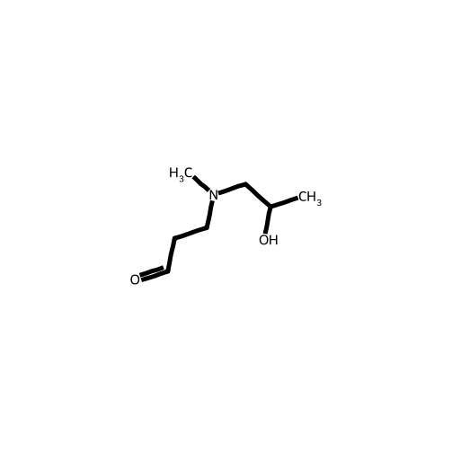 CC(O)CN(C)CCC=O